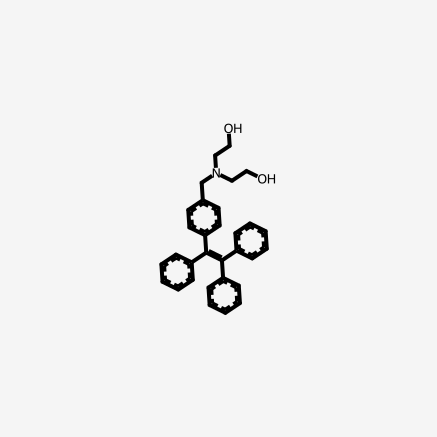 OCCN(CCO)Cc1ccc(C(=C(c2ccccc2)c2ccccc2)c2ccccc2)cc1